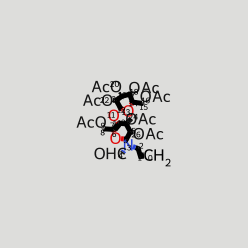 C=CCN(C=O)[C@@H]1OC(COC(C)=O)=C(O[C@@H]2OC(COC(C)=O)[C@@H](OC(C)=O)[C@H](OC(C)=O)C2OC(C)=O)C(OC(C)=O)C1OC(C)=O